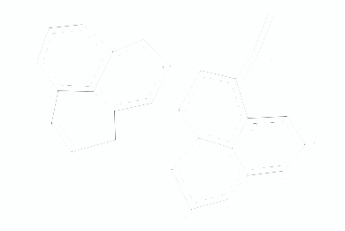 C1=Cc2cccc3cccc(c23)C1.C=C=c1ccc2cccc3cccc1c32